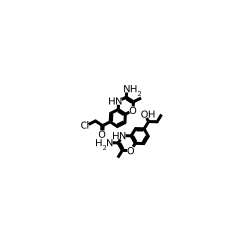 CC1=C(N)Nc2cc(C(=O)CCl)ccc2O1.CCC(O)c1ccc2c(c1)NC(N)=C(C)O2